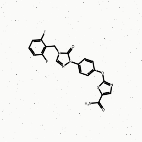 NC(=O)c1cnc(Oc2ccc(-n3ncn(Cc4c(F)cccc4F)c3=O)cc2)s1